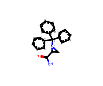 [NH]C(=O)C1CN1C(c1ccccc1)(c1ccccc1)c1ccccc1